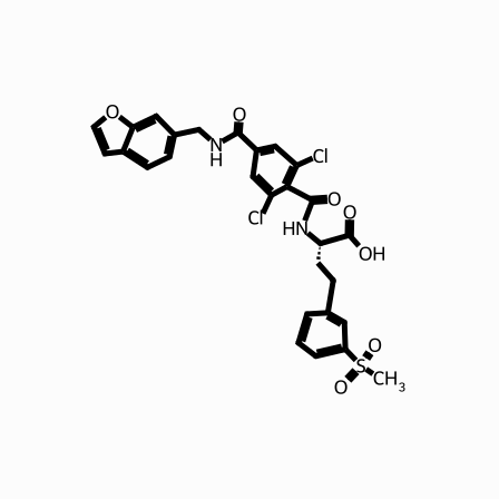 CS(=O)(=O)c1cccc(CC[C@H](NC(=O)c2c(Cl)cc(C(=O)NCc3ccc4ccoc4c3)cc2Cl)C(=O)O)c1